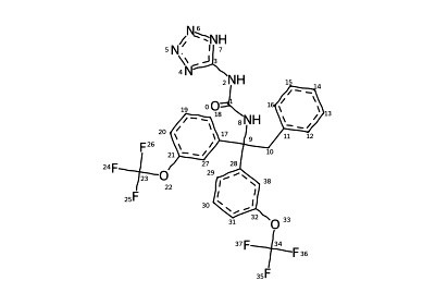 O=C(Nc1nnn[nH]1)NC(Cc1ccccc1)(c1cccc(OC(F)(F)F)c1)c1cccc(OC(F)(F)F)c1